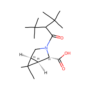 CC(C)(C)C(C(=O)N1C[C@H]2[C@@H]([C@H]1C(=O)O)C2(C)C)C(C)(C)C